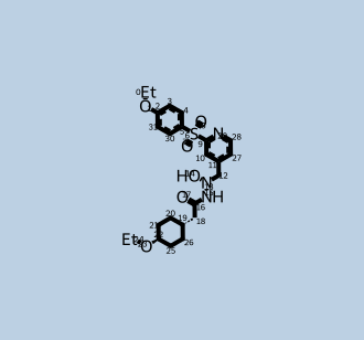 CCOc1ccc(S(=O)(=O)c2cc(CN(O)NC(=O)C[C@H]3CC[C@H](OCC)CC3)ccn2)cc1